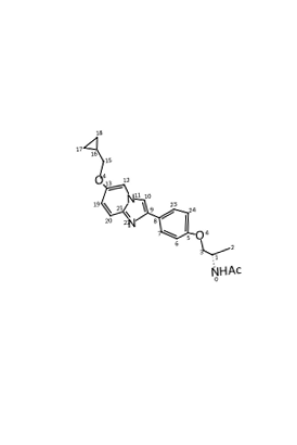 CC(=O)N[C@@H](C)COc1ccc(-c2cn3cc(OCC4CC4)ccc3n2)cc1